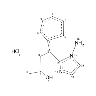 CC(O)CC(c1ccccc1)c1nccn1N.Cl